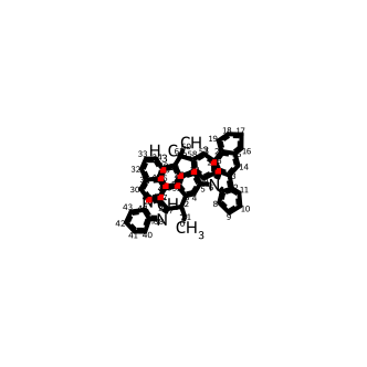 CCC(c1cc(-n2c3ccccc3c3cc4ccccc4cc32)ccc1-c1c(C)ccc2ccccc12)c1nc2ccccc2nc1-c1ccc2c(c1)-c1ccccc1C2(C)C